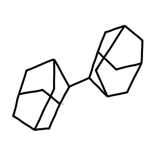 C1[C]2CC3CC1CC(C3)C2C1C2CC3CC(C2)CC1C3